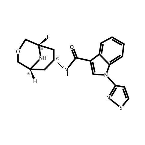 O=C(N[C@H]1C[C@H]2COC[C@@H](C1)N2)c1cn(-c2ccsn2)c2ccccc12